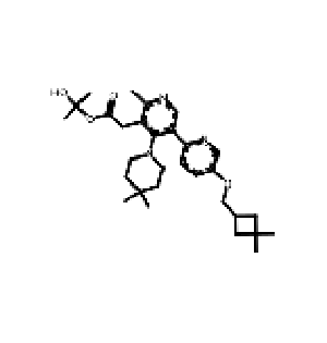 Cc1ncc(-c2ccc(OCC3CC(C)(C)C3)cn2)c(N2CCC(C)(C)CC2)c1CC(=O)OC(C)(C)O